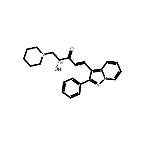 O=C(/C=C/c1c(-c2ccccc2)nn2ccccc12)[C@H](O)CN1CCCCC1